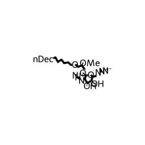 CCCCCCCCCCCCCCCCOC[C@H](CO[C@H]1OC(CN=[N+]=[N-])[C@@H](O)[C@H](O)C1N=[N+]=[N-])OC